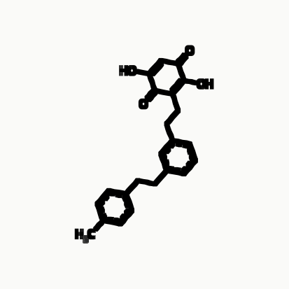 Cc1ccc(CCc2cccc(CCC3=C(O)C(=O)C=C(O)C3=O)c2)cc1